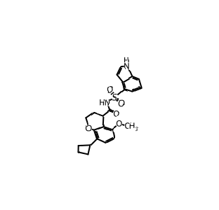 COc1ccc(C2CCC2)c2c1C(C(=O)NS(=O)(=O)c1cccc3[nH]ccc13)CCO2